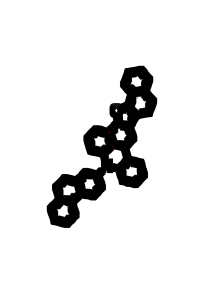 c1ccc(N(c2ccc3c(ccc4ccccc43)c2)c2ccccc2-c2ccc3oc4c5ccccc5ccc4c3c2)cc1